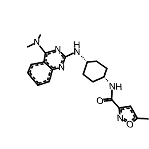 Cc1cc(C(=O)N[C@H]2CC[C@@H](Nc3nc(N(C)C)c4ccccc4n3)CC2)no1